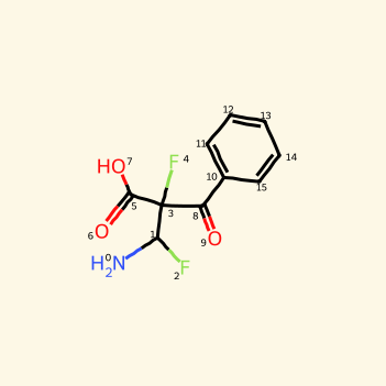 NC(F)C(F)(C(=O)O)C(=O)c1ccccc1